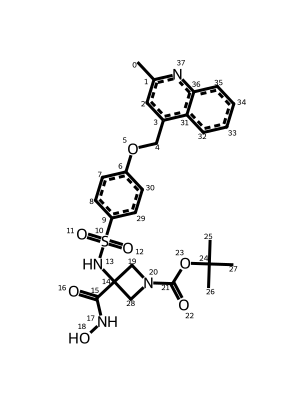 Cc1cc(COc2ccc(S(=O)(=O)NC3(C(=O)NO)CN(C(=O)OC(C)(C)C)C3)cc2)c2ccccc2n1